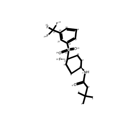 CC(C)(C)CC(=O)N[C@H]1CC[C@@](F)(S(=O)(=O)c2cccc(C(F)(F)F)c2)CC1